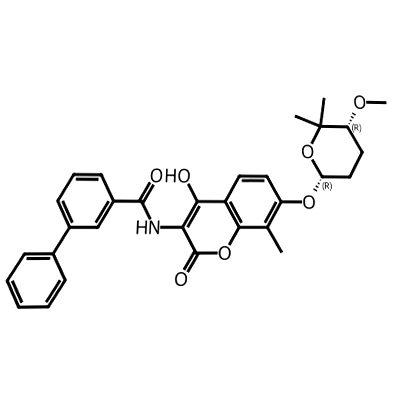 CO[C@@H]1CC[C@H](Oc2ccc3c(O)c(NC(=O)c4cccc(-c5ccccc5)c4)c(=O)oc3c2C)OC1(C)C